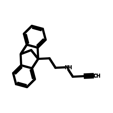 C#CCNCCC12CC(c3ccccc31)c1ccccc12